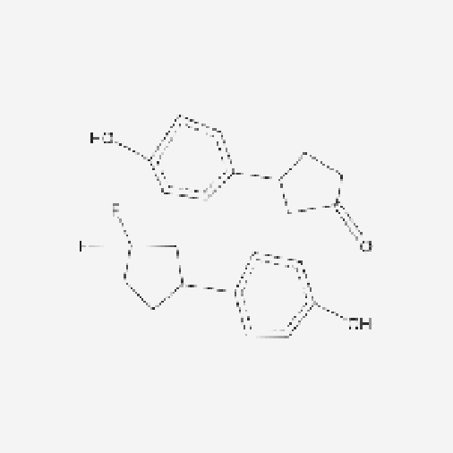 O=C1CCC(c2ccc(O)cc2)C1.Oc1ccc(C2CCC(F)(F)C2)cc1